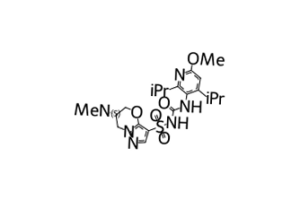 CN[C@@H]1COc2c(S(=O)(=O)NC(=O)Nc3c(C(C)C)cc(OC)nc3C(C)C)cnn2C1